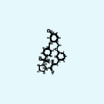 O=C(NCc1cccc(OCc2ccc(Cl)cc2)c1)[C@@H]1CCCN1S(=O)(=O)c1ccc(F)cc1